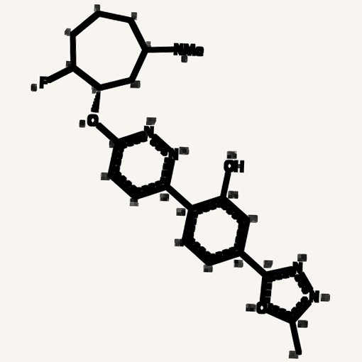 CNC1CCCC(F)[C@@H](Oc2ccc(-c3ccc(-c4nnc(C)o4)cc3O)nn2)C1